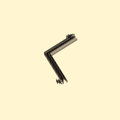 Cl.Cl.Cl.Cl.Cl.Cl.N.N.N.N.N.N.N.N.N.N.N.N.N.N.N.N.N.N.N.N.N.N.N.N.N.N.N.N.N.N.N.N.N.N.N.N.N.N.N.N.N.N.N.N.N.N.N.N.N.N.N